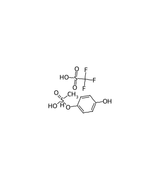 C[SH](=O)(O)Oc1ccc(O)cc1.O=S(=O)(O)C(F)(F)F